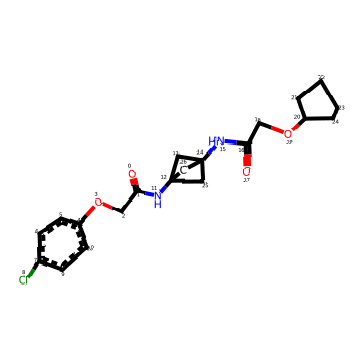 O=C(COc1ccc(Cl)cc1)NC12CC(NC(=O)COC3CCCC3)(C1)C2